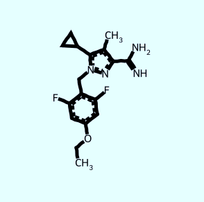 CCOc1cc(F)c(Cn2nc(C(=N)N)c(C)c2C2CC2)c(F)c1